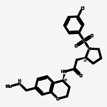 CC(C)(C)NCc1ccc2c(c1)OCC[C@H]2NC(=O)C[C@@H]1CCCN1S(=O)(=O)c1cccc(Cl)c1